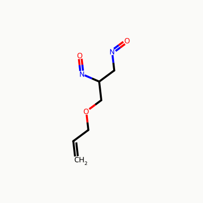 C=CCOCC(CN=O)N=O